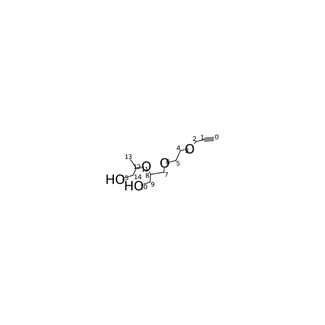 C#CCOCCOCC(CO)OC(C)CO